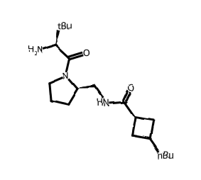 CCCCC1CC(C(=O)NC[C@H]2CCCN2C(=O)[C@@H](N)C(C)(C)C)C1